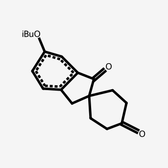 CC(C)COc1ccc2c(c1)C(=O)C1(CCC(=O)CC1)C2